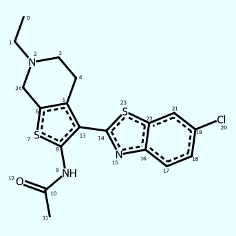 CCN1CCc2c(sc(NC(C)=O)c2-c2nc3ccc(Cl)cc3s2)C1